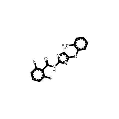 O=C(Nc1ncc(Oc2ccccc2C(F)(F)F)s1)c1c(F)cccc1F